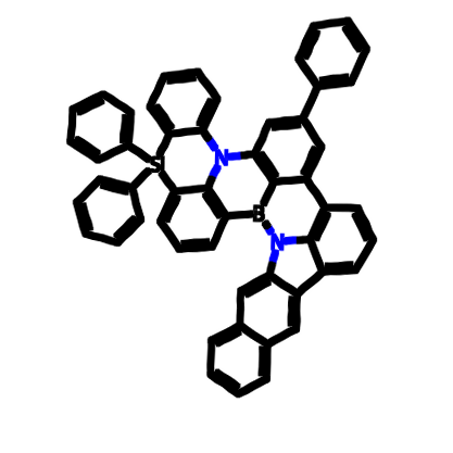 c1ccc(-c2cc3c4c(c2)N2c5ccccc5[Si](c5ccccc5)(c5ccccc5)c5cccc(c52)B4n2c4cc5ccccc5cc4c4cccc-3c42)cc1